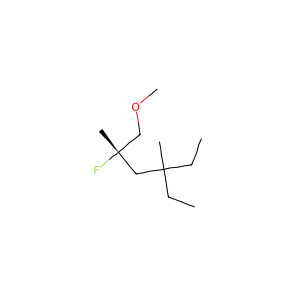 CCC(C)(CC)C[C@](C)(F)COC